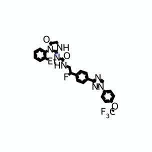 CCc1ccccc1N1C(=O)CN/C1=N\C(=O)NCC(F)c1ccc(-c2ncn(-c3ccc(OC(F)(F)F)cc3)n2)cc1